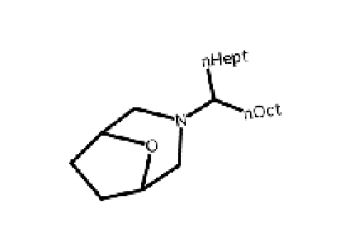 CCCCCCCCC(CCCCCCC)N1CC2CCC(C1)O2